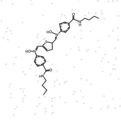 CCCCNC(=O)c1ccc(/[N+](O)=C/C2CC=C(/C=[N+](/O)c3ccc(C(=O)NCCCC)cc3)S2)cc1